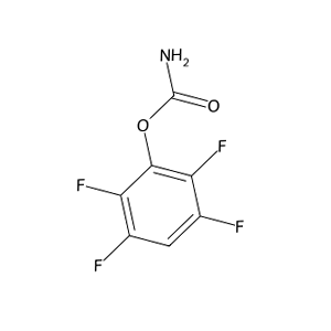 NC(=O)Oc1c(F)c(F)cc(F)c1F